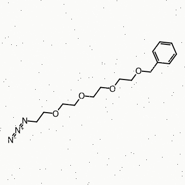 [N-]=[N+]=NCCOCCOCCOCCOCc1ccccc1